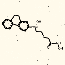 O=C(CCCC[C@@H](O)c1ccc2c(c1)CCc1ccccc1-2)NO